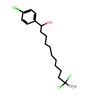 O=C(O)C(Cl)(Cl)CCCCCCCCCC(O)c1ccc(Cl)cc1